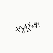 CN(C(=O)OC(C)(C)C)C1(C(=O)NN)CC1